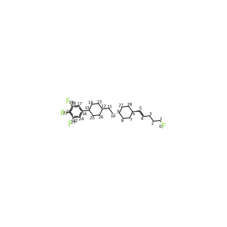 FCCC/C=C/[C@H]1CC[C@H](CCC2CCC(c3cc(F)c(F)c(F)c3)CC2)CC1